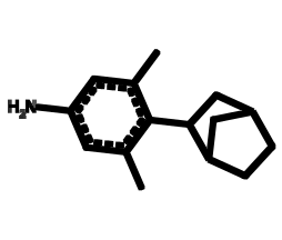 Cc1cc(N)cc(C)c1C1CC2CCC1C2